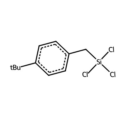 CC(C)(C)c1ccc(C[Si](Cl)(Cl)Cl)cc1